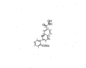 COc1ccccc1-c1cnc2ccc(C(=O)NO)cc2n1